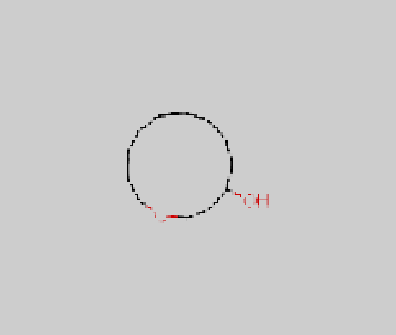 OC1CCCCCCCCCOCC1